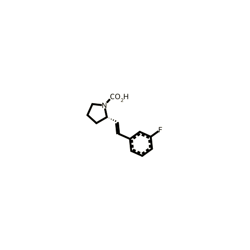 O=C(O)N1CCC[C@H]1/C=C/c1cccc(F)c1